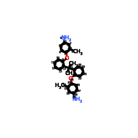 Cc1cc(N)ccc1Oc1ccccc1C(C)(C)c1ccccc1Oc1ccc(N)cc1C